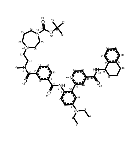 CCN(CC)c1ccc(NC(=O)c2cccc(C(=O)N(C)CCN3CCCN(C(=O)OC(C)(C)C)CC3)c2)c(-c2cc(C(=O)NC3CCCc4ccccc43)ccn2)c1